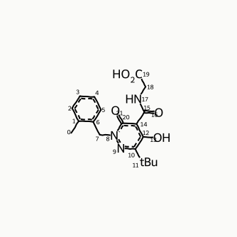 Cc1ccccc1Cn1nc(C(C)(C)C)c(O)c(C(=O)NCC(=O)O)c1=O